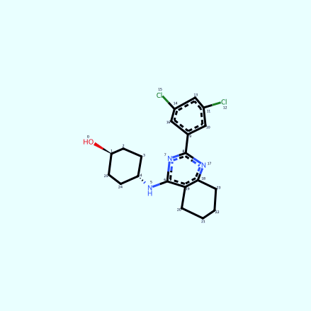 O[C@H]1CC[C@H](Nc2nc(-c3cc(Cl)cc(Cl)c3)nc3c2CCCC3)CC1